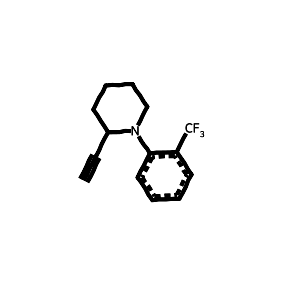 C#CC1CCCCN1c1ccccc1C(F)(F)F